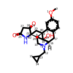 COc1ccc2c(c1)[C@]13CCN(CC4CC4)[C@H](C2)[C@]1(O)CC[C@@]1(C3)NC(=O)CC1=O